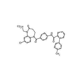 Cc1ccc(-c2ccccc2C(=O)Nc2ccc(C(=O)N3CCC(=O)N(CC(=O)O)c4cc(Cl)ccc43)cc2)cc1